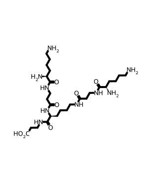 NCCCC[C@H](N)C(=O)NCCC(=O)NCCCC[C@H](NC(=O)CCNC(=O)[C@@H](N)CCCCN)C(=O)NCCC(=O)O